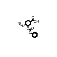 [N-]=[N+]=NC1CCC(C(=O)O)CC1OC(=O)Oc1ccccc1